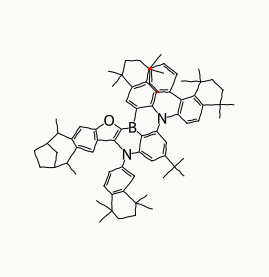 CC1c2cc3oc4c(c3cc2C(C)C2CCC1C2)N(c1ccc2c(c1)C(C)(C)CCC2(C)C)c1cc(C(C)(C)C)cc2c1B4c1cc3c(cc1N2c1ccc2c(c1-c1ccccc1)C(C)(C)CCC2(C)C)C(C)(C)CCC3(C)C